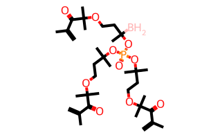 BC(C)(CCOC(C)(C)C(=O)C(=C)C)OP(=O)(OC(C)(C)CCOC(C)(C)C(=O)C(=C)C)OC(C)(C)CCOC(C)(C)C(=O)C(=C)C